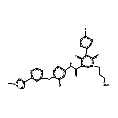 COCCCn1cc(C(=O)Nc2ccc(Oc3ccnc(-c4cnn(C)c4)c3)c(F)c2)c(=O)n(-c2ccc(F)cc2)c1=O